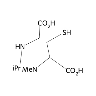 CC(C)NCC(=O)O.CNC(CS)C(=O)O